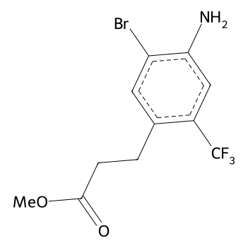 COC(=O)CCc1cc(Br)c(N)cc1C(F)(F)F